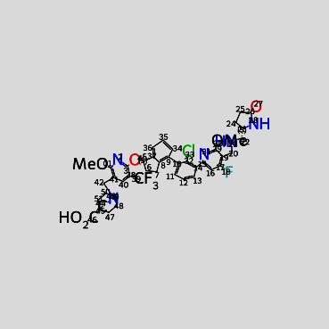 COc1nc(O[C@H]2CCc3c(-c4cccc(-c5cc(F)c(CNC[C@@H]6CCC(=O)N6)c(OC)n5)c4Cl)cccc32)c(C(F)(F)F)cc1CN1CC2(C(=O)O)CCC1CC2